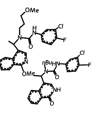 CCCCN(C(=O)Nc1ccc(F)c(Cl)c1)C(C)c1c[nH]c(=O)c2ccccc12.COCCCN(C(=O)Nc1ccc(F)c(Cl)c1)C(C)c1cnc(OC)c2ccccc12